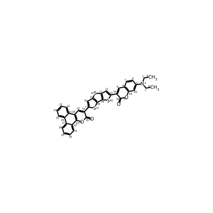 CCN(CC)c1ccc2cc(-c3cc4sc5cc(-c6cc7c8ccccc8c8ccccc8c7oc6=O)sc5c4s3)c(=O)oc2c1